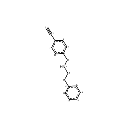 C#Cc1ccc(CNCCc2ccccc2)cc1